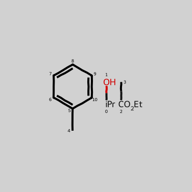 CC(C)O.CCOC(C)=O.Cc1ccccc1